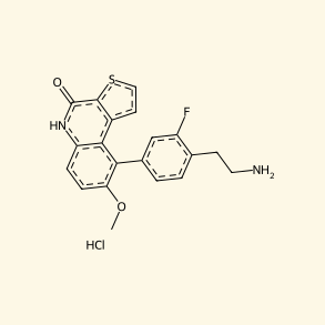 COc1ccc2[nH]c(=O)c3sccc3c2c1-c1ccc(CCN)c(F)c1.Cl